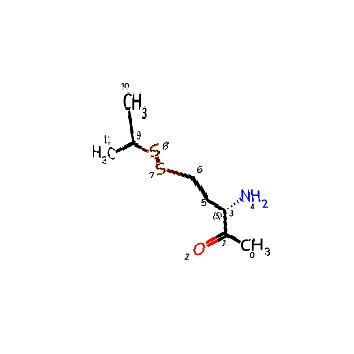 CC(=O)[C@@H](N)CCSSC(C)C